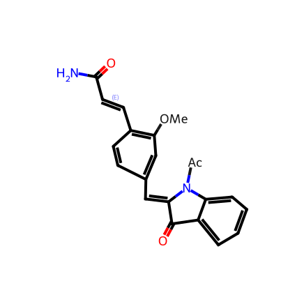 COc1cc(C=C2C(=O)c3ccccc3N2C(C)=O)ccc1/C=C/C(N)=O